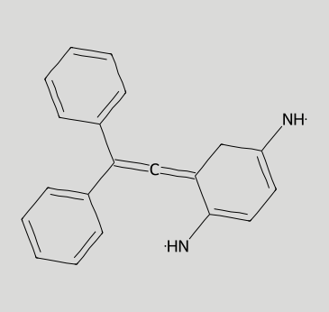 [NH]C1=CC=C([NH])C(=C=C(c2ccccc2)c2ccccc2)C1